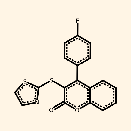 O=c1oc2ccccc2c(-c2ccc(F)cc2)c1Sc1nccs1